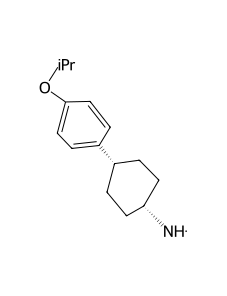 CC(C)Oc1ccc([C@H]2CC[C@@H]([NH])CC2)cc1